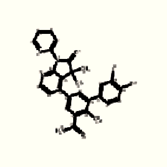 CC1(C)C(=O)N(c2ccccn2)c2nccc(-c3cc(C(N)=O)c(C(F)(F)F)c(-c4ccc(F)c(F)c4)c3)c21